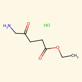 CCOC(=O)CCC(=O)CN.Cl